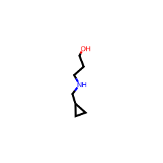 OCCCNCC1CC1